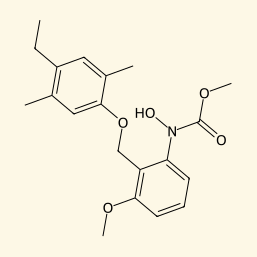 CCc1cc(C)c(OCc2c(OC)cccc2N(O)C(=O)OC)cc1C